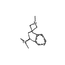 CN1CC2(CC(N(C)C)c3ccccc32)C1